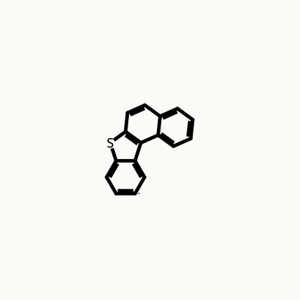 [c]1ccc2sc3ccc4ccccc4c3c2c1